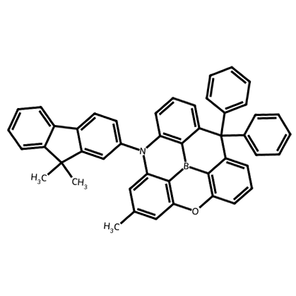 Cc1cc2c3c(c1)N(c1ccc4c(c1)C(C)(C)c1ccccc1-4)c1cccc4c1B3c1c(cccc1C4(c1ccccc1)c1ccccc1)O2